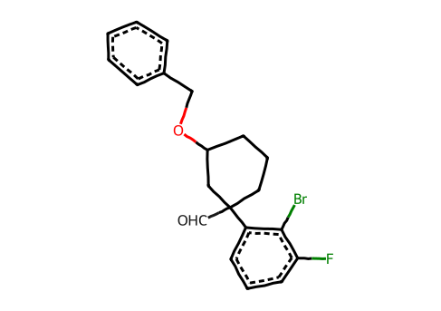 O=CC1(c2cccc(F)c2Br)CCCC(OCc2ccccc2)C1